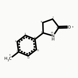 Cc1ccc(C2CCC(=O)N2)cc1